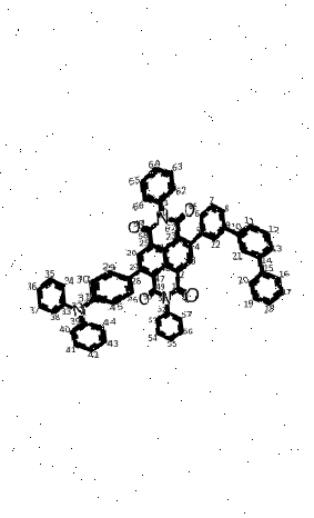 O=C1c2cc(-c3cccc(-c4cccc(-c5ccccc5)c4)c3)c3c4c(cc(-c5ccc(N(c6ccccc6)c6ccccc6)cc5)c(c24)C(=O)N1c1ccccc1)C(=O)N(c1ccccc1)C3=O